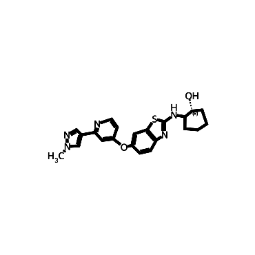 Cn1cc(-c2cc(Oc3ccc4nc(NC5CCCC[C@H]5O)sc4c3)ccn2)cn1